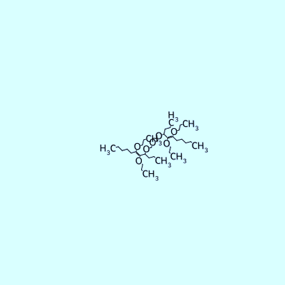 CCCCCC(OCCC)=C(OCCC)C(CCC)OCOCOC(CCC)C(OCCC)=C(CCCCC)OCCC